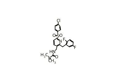 CN(C)C(=O)NCc1ccc(S(=O)(=O)c2ccc(Cl)cc2)nc1Cc1cc(F)ccc1F